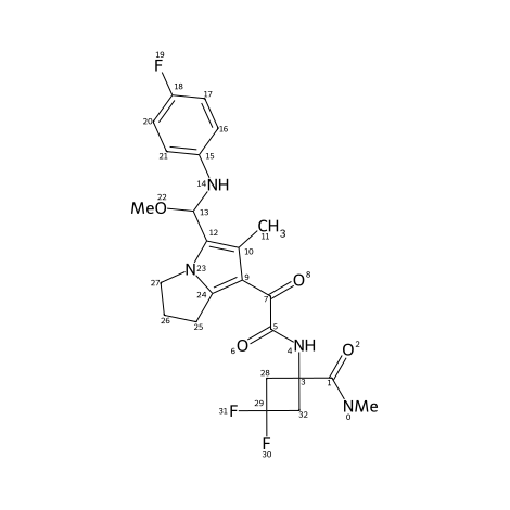 CNC(=O)C1(NC(=O)C(=O)c2c(C)c(C(Nc3ccc(F)cc3)OC)n3c2CCC3)CC(F)(F)C1